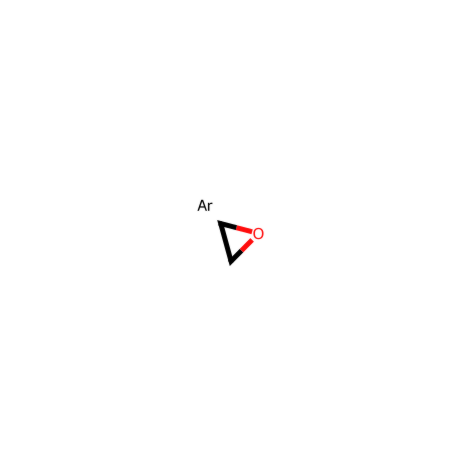 C1CO1.[Ar]